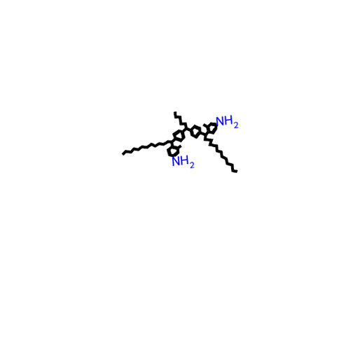 CCCCCCCCCCCCC(c1ccc(C(CCCCC)c2ccc(C(CCCCCCCCCCCC)c3ccc(N)cc3C)cc2)cc1)c1ccc(N)cc1C